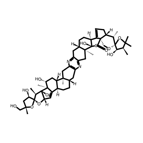 C[C@@H]1[C@]2(O[C@H]3C=C4[C@@H]5CC[C@H]6Cc7nc8c(nc7C[C@]6(C)[C@H]5C[C@@H](O)[C@]4(C)[C@]31O)C[C@@H]1CC[C@H]3C4=CC[C@@H]5[C@H](C)[C@@]6(OC[C@]45C(=O)C[C@]3(O)[C@@]1(C)C8)OC(C)(C)[C@@H](C)[C@H]6O)O[C@](C)(CO)C[C@H]2O